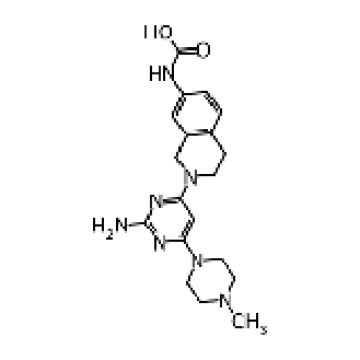 CN1CCN(c2cc(N3CCc4ccc(NC(=O)O)cc4C3)nc(N)n2)CC1